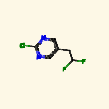 FC(F)Cc1cnc(Cl)nc1